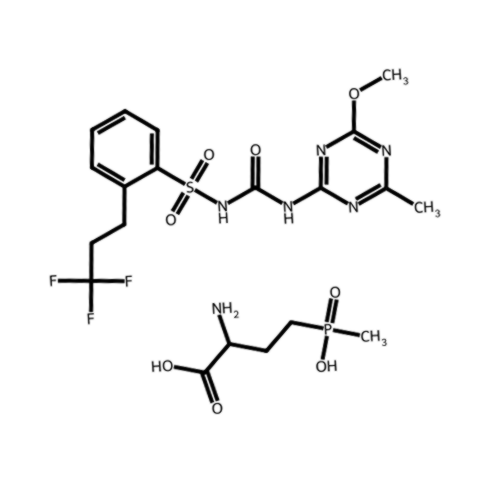 COc1nc(C)nc(NC(=O)NS(=O)(=O)c2ccccc2CCC(F)(F)F)n1.CP(=O)(O)CCC(N)C(=O)O